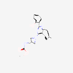 Cc1ccc2c(N3CC(CNC(=O)OC(C)C)C3)nc(-c3ccccc3O)nc2c1